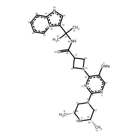 COc1cnc(N2C[C@@H](C)N[C@@H](C)C2)nc1N1CC(C(=O)NC(C)(C)c2cnc3ccccn23)C1